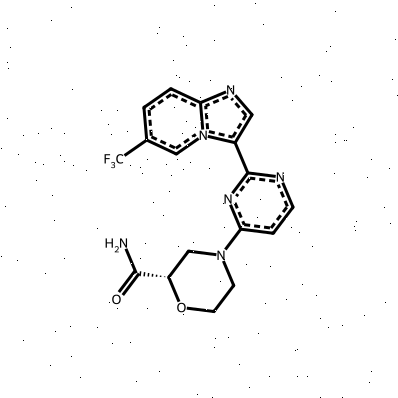 NC(=O)[C@@H]1CN(c2ccnc(-c3cnc4ccc(C(F)(F)F)cn34)n2)CCO1